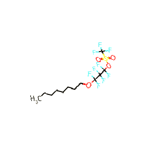 CCCCCCCCOC(F)(F)C(F)(F)C(F)(F)OS(=O)(=O)C(F)(F)F